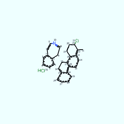 C1=Cc2ccccc2CC=N1.CC1=c2ccc3c(c2CC[C@H]1Cl)CC=c1ccccc1=3.Cl